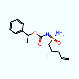 C=CC[C@H](C)C[S@@](N)(=O)=NC(=O)O[C@@H](C)c1ccccc1